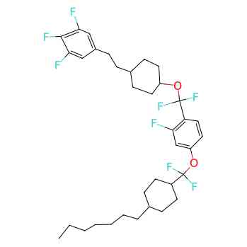 CCCCCCCC1CCC(C(F)(F)Oc2ccc(C(F)(F)OC3CCC(CCc4cc(F)c(F)c(F)c4)CC3)c(F)c2)CC1